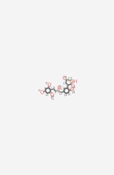 COc1cc(OC)c(/C=C/[S+]([O-])Cc2ccc(OC)c(C(CC(=O)Cl)C(=O)O)c2)c(OC)c1